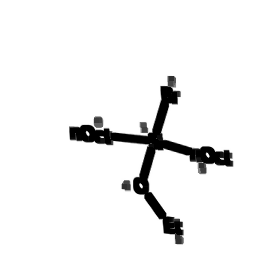 CCCCCCCC[Si](Br)(CCCCCCCC)OCC